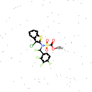 CC(C)(C)OC(=O)S(=O)(=O)N(c1sc2ccccc2c1Cl)C(F)c1ccc(F)c(F)c1F